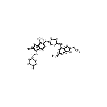 Cc1c(CN2CCC(Nc3nc(N)nc4sc(CC(F)(F)F)cc34)CC2)ccc2c1cc(C#N)n2CCN1CCNCC1